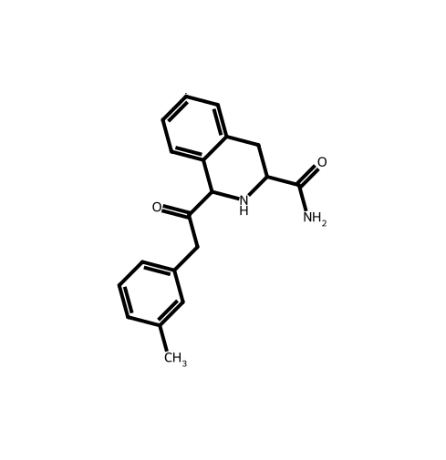 Cc1cccc(CC(=O)C2NC(C(N)=O)Cc3c[c]ccc32)c1